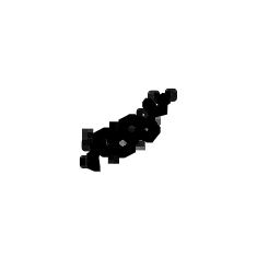 C[C@]12CC[C@@](O)(C3CO3)C[C@H]1CC[C@@H]1[C@@H]2CC[C@]2(C)[C@@H](C3=COC(=O)C3)CC[C@]12O